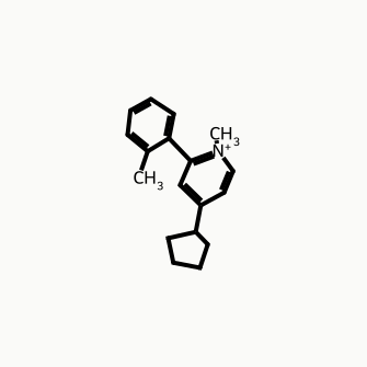 Cc1ccccc1-c1cc(C2CCCC2)cc[n+]1C